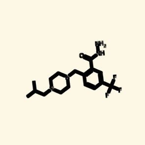 C[C](C)CN1CCN(Cc2ccc(C(F)(F)F)cc2C(=O)NN)CC1